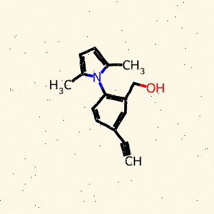 C#Cc1ccc(-n2c(C)ccc2C)c(CO)c1